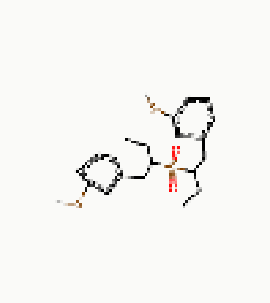 CCC(Cc1cccc(SC)c1)S(=O)(=O)C(CC)Cc1cccc(SC)c1